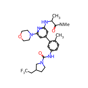 CNC(=O)C(C)Nc1cc(-c2cc(NC(=O)N3CCC(CC(F)(F)F)C3)ccc2C)cc(N2CCOCC2)n1